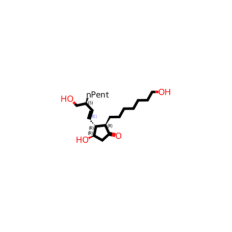 CCCCC[C@@H](/C=C/[C@H]1[C@H](O)CC(=O)[C@@H]1CCCCCCCO)CO